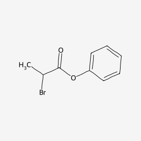 CC(Br)C(=O)Oc1ccccc1